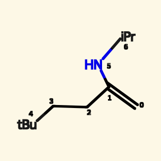 C=C(CCC(C)(C)C)NC(C)C